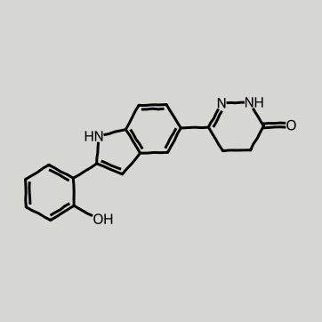 O=C1CCC(c2ccc3[nH]c(-c4ccccc4O)cc3c2)=NN1